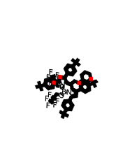 CC(C)(C)c1ccc(C2=CC(c3ccc(C(C)(C)C)cc3)=N/C2=C(/CCC2CCCCC2)c2c(-c3ccc(C(C)(C)C)cc3)cc(-c3ccc(C(C)(C)C)cc3)n2B(OCC(F)(F)C(F)(F)F)OCC(F)(F)C(F)(F)F)cc1